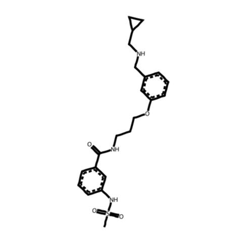 CS(=O)(=O)Nc1cccc(C(=O)NCCCOc2cccc(CNCC3CC3)c2)c1